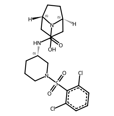 O=C(N[C@H]1CCCN(S(=O)(=O)c2c(Cl)cccc2Cl)C1)N1[C@H]2CC[C@H]1CC(O)C2